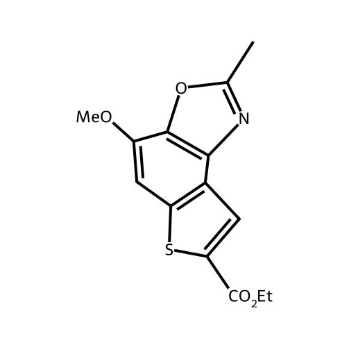 CCOC(=O)c1cc2c(cc(OC)c3oc(C)nc32)s1